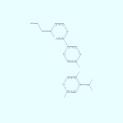 OCCc1cccc(-c2ccc(Oc3ccc(F)cc3C(O)C(F)(F)F)cc2)n1